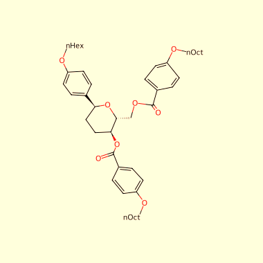 CCCCCCCCOc1ccc(C(=O)OC[C@H]2O[C@H](c3ccc(OCCCCCC)cc3)CC[C@@H]2OC(=O)c2ccc(OCCCCCCCC)cc2)cc1